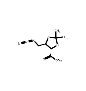 COC(=O)[C@H]1OC(C)(C)O[C@@H]1CN=[N+]=[N-]